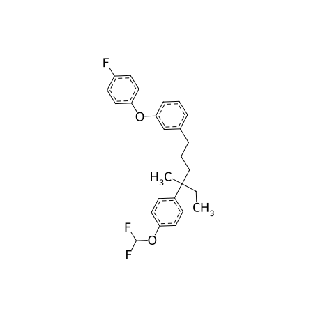 CCC(C)(CCCc1cccc(Oc2ccc(F)cc2)c1)c1ccc(OC(F)F)cc1